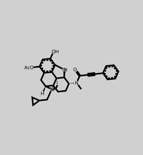 CC(=O)Oc1cc(O)c2c3c1C[C@@H]1[C@@H]4CC[C@@H](N(C)C(=O)C#Cc5ccccc5)[C@H](O2)[C@]34CCN1CC1CC1